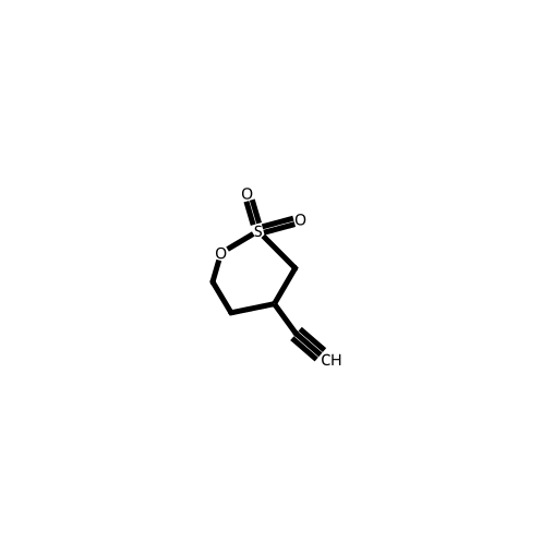 C#CC1CCOS(=O)(=O)C1